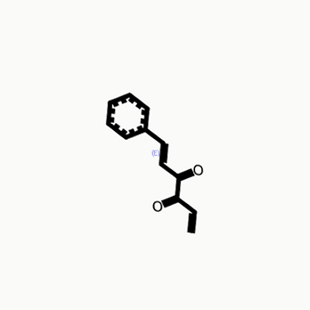 C=CC(=O)C(=O)/C=C/c1ccccc1